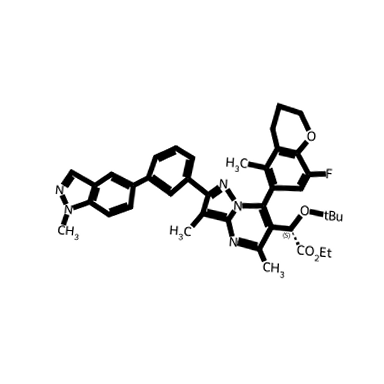 CCOC(=O)[C@@H](OC(C)(C)C)c1c(C)nc2c(C)c(-c3cccc(-c4ccc5c(cnn5C)c4)c3)nn2c1-c1cc(F)c2c(c1C)CCCO2